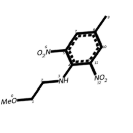 COCCNc1c([N+](=O)[O-])cc(C)cc1[N+](=O)[O-]